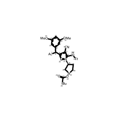 CCNc1c(C#N)c(C(C(C)=O)c2cc(OC)cc(OC)c2)nn1[C@H]1CCN(OC(=O)C(C)(C)C)C1